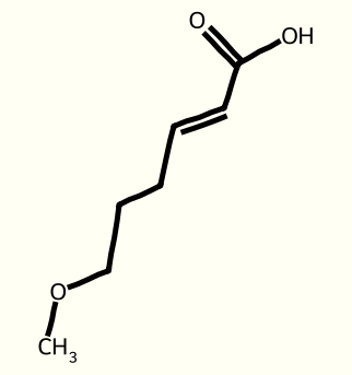 COCCCC=CC(=O)O